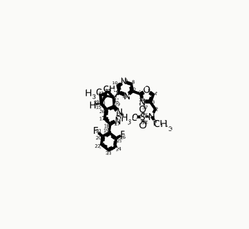 CN(Cc1coc(-c2cncc([C@@]34CC[C@@H](c5cc(-c6c(F)cccc6F)nnc53)C4(C)C)n2)n1)S(C)(=O)=O